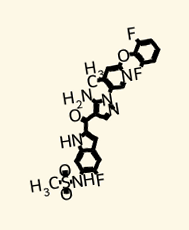 Cc1cc(Oc2c(F)cccc2F)ncc1-n1ncc(C(=O)c2cc3cc(F)c(NS(C)(=O)=O)cc3[nH]2)c1N